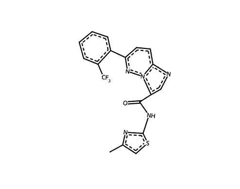 Cc1csc(NC(=O)c2cnc3ccc(-c4ccccc4C(F)(F)F)nn23)n1